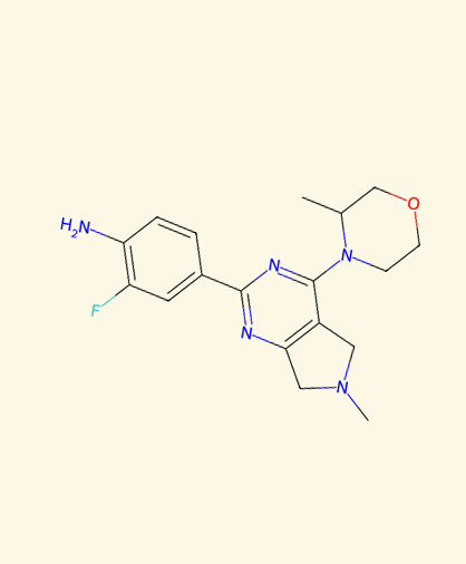 CC1COCCN1c1nc(-c2ccc(N)c(F)c2)nc2c1CN(C)C2